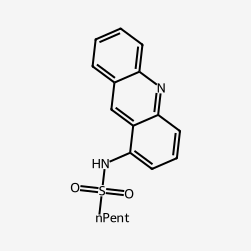 CCCCCS(=O)(=O)Nc1cccc2nc3ccccc3cc12